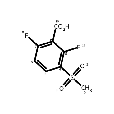 CS(=O)(=O)c1ccc(F)c(C(=O)O)c1F